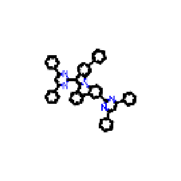 c1ccc(-c2ccc3c(-c4nc(-c5ccccc5)cc(-c5ccccc5)n4)c4c5ccccc5c5cc(-c6nc(-c7ccccc7)cc(-c7ccccc7)n6)ccc5n4c3c2)cc1